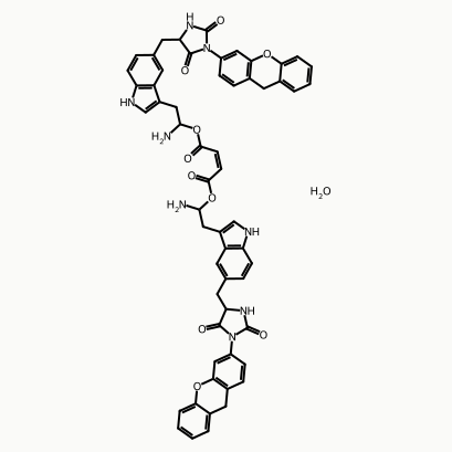 NC(Cc1c[nH]c2ccc(CC3NC(=O)N(c4ccc5c(c4)Oc4ccccc4C5)C3=O)cc12)OC(=O)/C=C\C(=O)OC(N)Cc1c[nH]c2ccc(CC3NC(=O)N(c4ccc5c(c4)Oc4ccccc4C5)C3=O)cc12.O